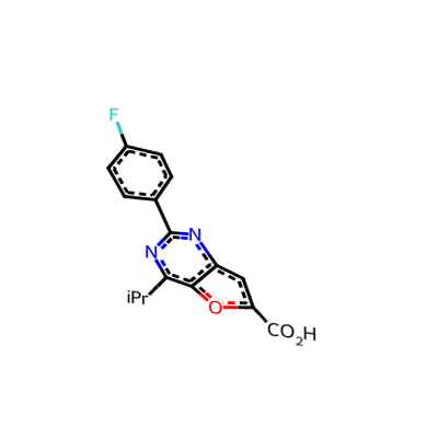 CC(C)c1nc(-c2ccc(F)cc2)nc2cc(C(=O)O)oc12